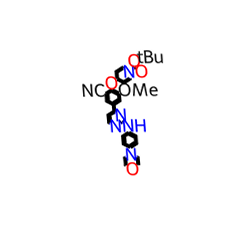 COc1cc(-c2ccnc(Nc3ccc(N4CCOCC4)cc3)n2)cc(C#N)c1OC1CCN(C(=O)OC(C)(C)C)CC1